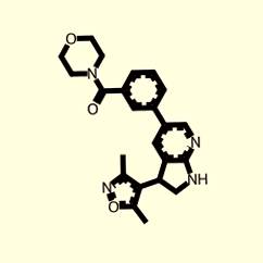 Cc1noc(C)c1C1CNc2ncc(-c3cccc(C(=O)N4CCOCC4)c3)cc21